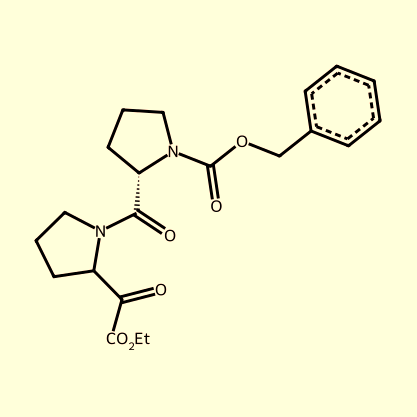 CCOC(=O)C(=O)C1CCCN1C(=O)[C@@H]1CCCN1C(=O)OCc1ccccc1